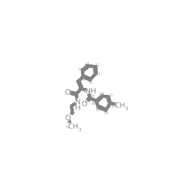 COCCNC(=O)/C(=C/c1ccccc1)NC(=O)c1ccc(C)cc1